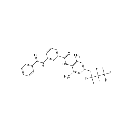 Cc1cc(SC(F)(F)C(F)(F)C(F)(F)F)cc(C)c1NC(=O)c1cccc(NC(=O)c2ccccc2)c1